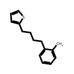 Cc1ccccc1CCCCc1cc[c]s1